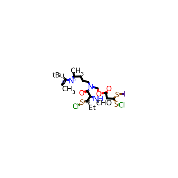 C/C=C(\N=C(/C)CCCN(COC(=O)CC(SCl)SI)C(=O)C(NC=O)[C@H](CC)SCl)C(C)(C)C